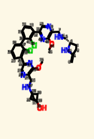 C=C1CC[C@@H](CNCc2ncc(-c3cccc(-c4cccc(-c5cnc(CNC67CC(O)(C6)C7)c(OC)n5)c4Cl)c3Cl)nc2OC)N1